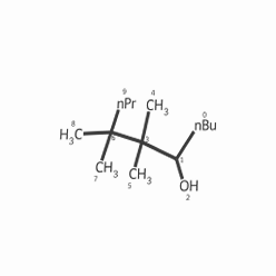 CCCCC(O)C(C)(C)C(C)(C)CCC